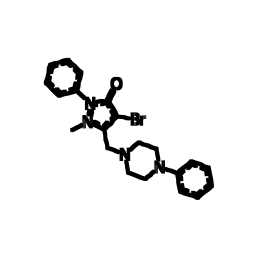 Cn1c(CN2CCN(c3ccccc3)CC2)c(Br)c(=O)n1-c1ccccc1